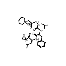 CC(C)C[C@H](NC(=O)C[N+]1(O)CCOCC1)C(=O)N[C@@H](Cc1ccccc1)C(=O)N[C@@H](CC(C)C)C(=O)[C@@]1(C)CO1